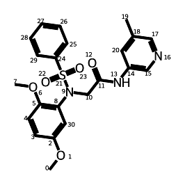 COc1ccc(OC)c(N(CC(=O)Nc2cncc(C)c2)S(=O)(=O)c2ccccc2)c1